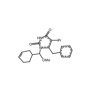 COC(C1CC=CCC1)n1c(Cc2ccccc2)c(C(C)C)c(=O)[nH]c1=O